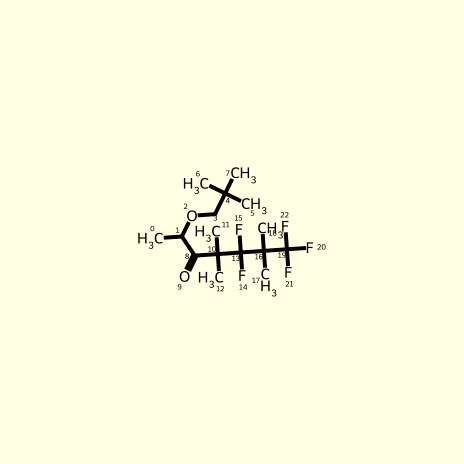 CC(OCC(C)(C)C)C(=O)C(C)(C)C(F)(F)C(C)(C)C(F)(F)F